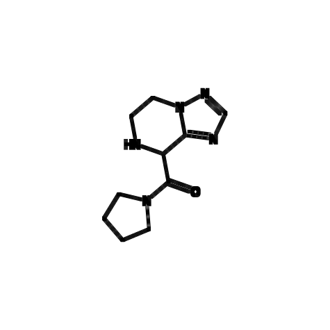 O=C(C1NCCn2ncnc21)N1CCCC1